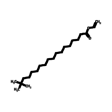 C=COC(=O)CCCCCCCCCCCCCCCC(C)(C)C